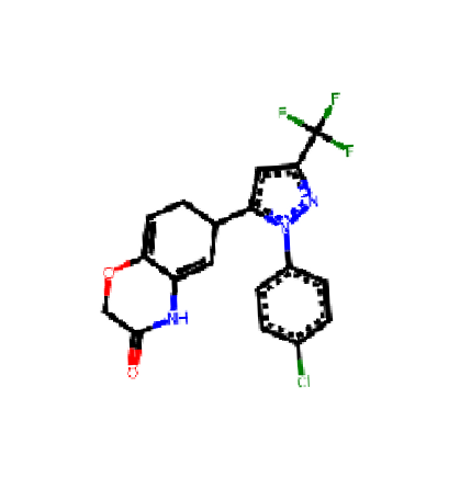 O=C1COC2=CCC(c3cc(C(F)(F)F)nn3-c3ccc(Cl)cc3)C=C2N1